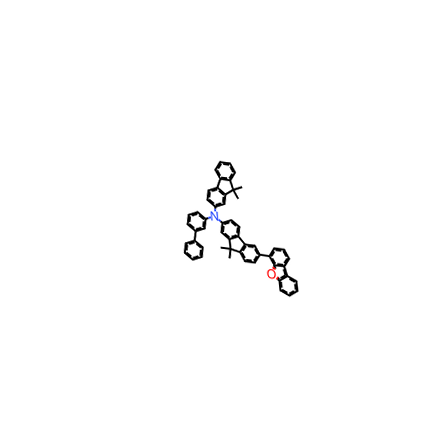 CC1(C)c2ccccc2-c2ccc(N(c3cccc(-c4ccccc4)c3)c3ccc4c(c3)C(C)(C)c3ccc(-c5cccc6c5oc5ccccc56)cc3-4)cc21